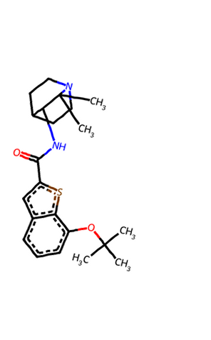 CC(C)(C)Oc1cccc2cc(C(=O)NC3C4CCN(CC4)C3(C)C)sc12